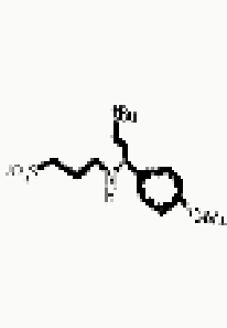 COc1ccc([C@H](/C=C/C(C)(C)C)NCCCS(=O)(=O)O)cc1